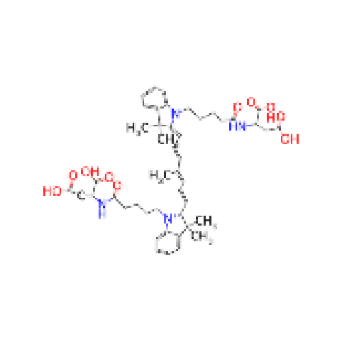 CC(/C=C/C=C1/N(CCCCC(=O)NC(CC(=O)O)C(=O)O)c2ccccc2C1(C)C)=C\C=C\C1=[N+](CCCCC(=O)NC(CC(=O)O)C(=O)O)c2ccccc2C1(C)C